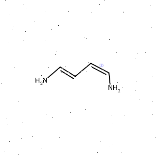 NC=C/C=C\N